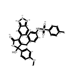 COc1ccc(C2(O)OC(=O)C(c3ccc4nsnc4c3)=C2Cc2ccc(NS(=O)(=O)c3ccc(C)cc3)cc2)cc1